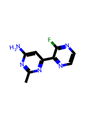 Cc1nc(N)cc(-c2nccnc2F)n1